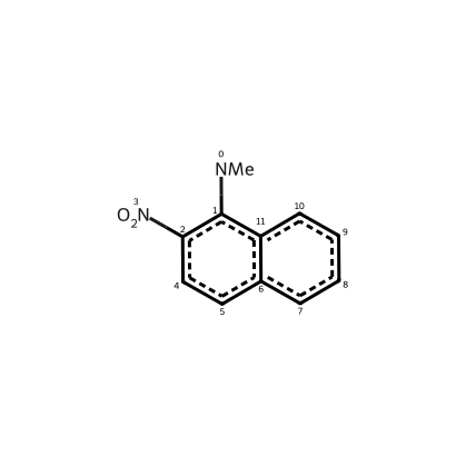 CNc1c([N+](=O)[O-])ccc2ccccc12